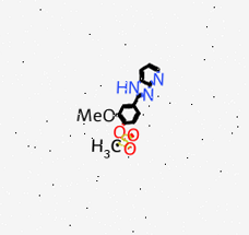 COc1cc(-c2nc3ncccc3[nH]2)ccc1OS(C)(=O)=O